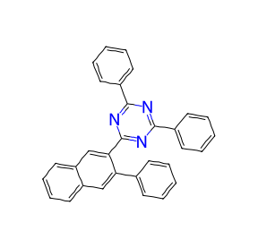 c1ccc(-c2nc(-c3ccccc3)nc(-c3cc4ccccc4cc3-c3ccccc3)n2)cc1